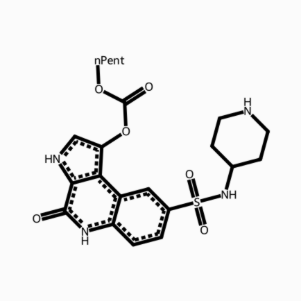 CCCCCOC(=O)Oc1c[nH]c2c(=O)[nH]c3ccc(S(=O)(=O)NC4CCNCC4)cc3c12